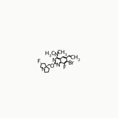 C=Cc1cc2c(N(C)C)nc(OC[C@@]34CCCN3C[C@H](F)C4)nc2c(F)c1Br